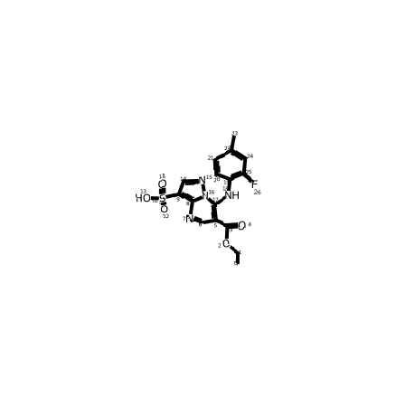 CCOC(=O)c1cnc2c(S(=O)(=O)O)cnn2c1Nc1ccc(C)cc1F